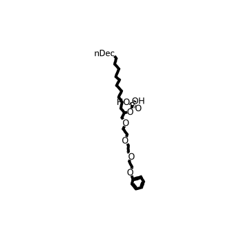 CCCCCCCCCCCCCCCCCCCCC(COCCOCCOCCOc1ccccc1)OP(=O)(O)O